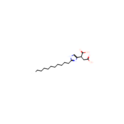 CCCCCCCCCCCc1nc(C(CC(=O)O)C(=O)O)c[nH]1